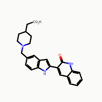 O=C(O)CC1CCN(Cc2ccc3[nH]c(-c4cc5ccccc5[nH]c4=O)cc3c2)CC1